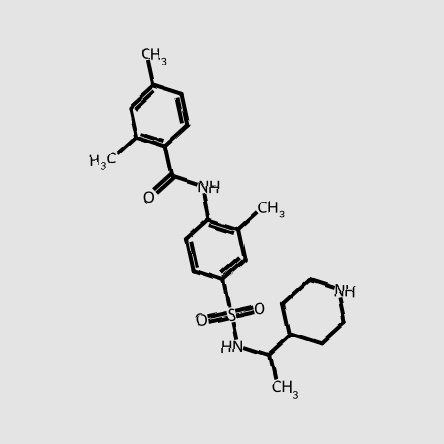 Cc1ccc(C(=O)Nc2ccc(S(=O)(=O)NC(C)C3CCNCC3)cc2C)c(C)c1